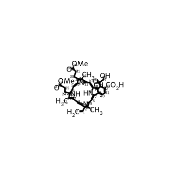 C=CC1=C(C)c2cc3[nH]c(cc4nc(cc5[nH]c(cc1n2)c(C)c5CCC(=O)OC)C(CCC(=O)OC)=C4C)[C@@]1(C)C3=CC=C(C(=O)O)C1C(=O)CO